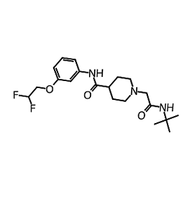 CC(C)(C)NC(=O)CN1CCC(C(=O)Nc2cccc(OCC(F)F)c2)CC1